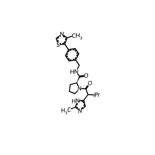 Cc1ncc(C(C(=O)N2CCC[C@H]2C(=O)NCc2ccc(-c3scnc3C)cc2)C(C)C)[nH]1